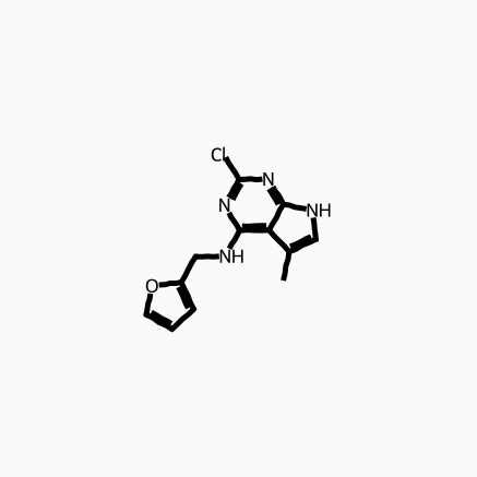 Cc1c[nH]c2nc(Cl)nc(NCc3ccco3)c12